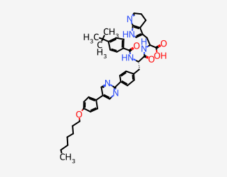 CCCCCCCOc1ccc(-c2cnc(-c3ccc(C[C@H](NC(=O)c4ccc(C(C)(C)C)cc4)C(=O)NC(Cc4c[nH]c5c4CCC=N5)C(=O)O)cc3)nc2)cc1